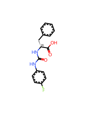 O=C(Nc1ccc(F)cc1)N[C@H](Cc1ccccc1)C(=O)O